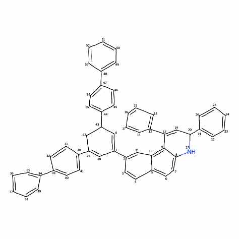 C1=C(c2ccc3ccc4c(c3c2)C(c2ccccc2)=CC(c2ccccc2)N4)C=C(c2ccc(-c3ccccc3)cc2)CC1c1ccc(-c2ccccc2)cc1